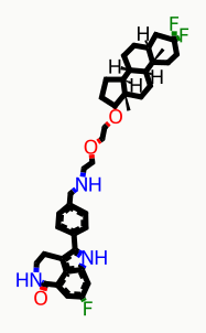 C[C@]12CCC(F)(F)C[C@@H]1CC[C@@H]1[C@@H]2CC[C@]2(C)[C@@H](OCCOCCNCc3ccc(-c4[nH]c5cc(F)cc6c5c4CCNC6=O)cc3)CC[C@@H]12